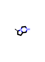 C[C@@H]1CCC2CNCCN21